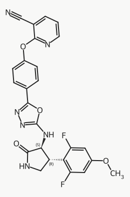 COc1cc(F)c([C@@H]2CNC(=O)[C@H]2Nc2nnc(-c3ccc(Oc4ncccc4C#N)cc3)o2)c(F)c1